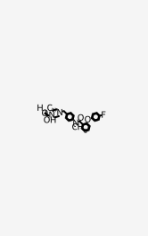 C[C@H]1CN(Cc2ccc(N(C)C(=O)c3ccccc3Oc3ccc(F)cc3)cc2)CCN1C(=O)O